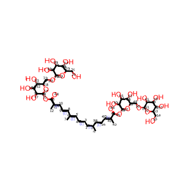 CC(=C/C=C/C=C(C)/C=C/C=C(\C)C(=O)O[C@@H]1OC(CO[C@@H]2OC(CO)[C@@H](O)C(O)C2O)[C@@H](O)C(O)C1O)/C=C/C=C(\C)C(=O)O[C@@H]1OC(CO[C@@H]2OC(CO)[C@@H](O)C(O)C2O)[C@@H](O)C(O)C1O